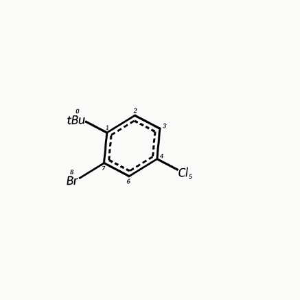 CC(C)(C)c1ccc(Cl)cc1Br